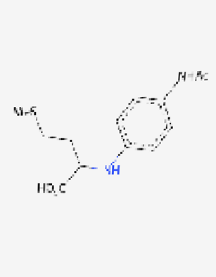 CSCCC(Nc1ccc(NC(C)=O)cc1)C(=O)O